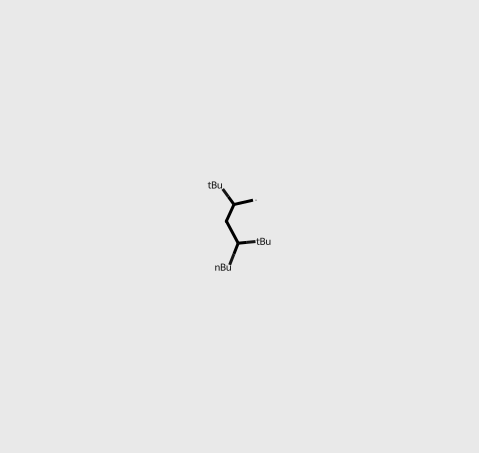 [CH2]C(CC(CCCC)C(C)(C)C)C(C)(C)C